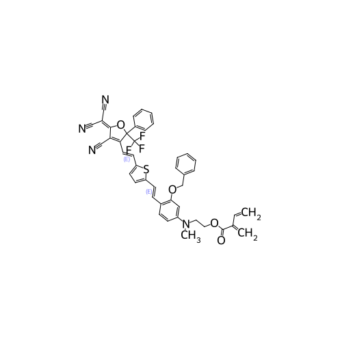 C=CC(=C)C(=O)OCCN(C)c1ccc(/C=C/c2ccc(/C=C/C3=C(C#N)C(=C(C#N)C#N)OC3(c3ccccc3)C(F)(F)F)s2)c(OCc2ccccc2)c1